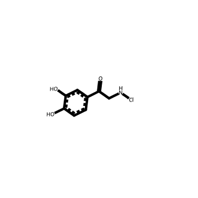 O=C(CNCl)c1ccc(O)c(O)c1